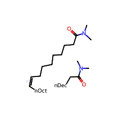 CCCCCCCC/C=C\CCCCCCCC(=O)N(C)C.CCCCCCCCCCCC(=O)N(C)C